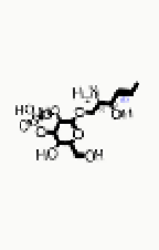 C/C=C/[C@@H](O)[C@@H](N)COC1OC(CO)C(O)C(OS(=O)(=O)O)C1O